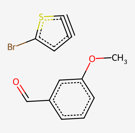 Brc1cc#cs1.COc1cccc(C=O)c1